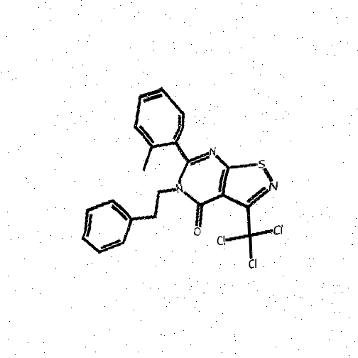 Cc1ccccc1-c1nc2snc(C(Cl)(Cl)Cl)c2c(=O)n1CCc1ccccc1